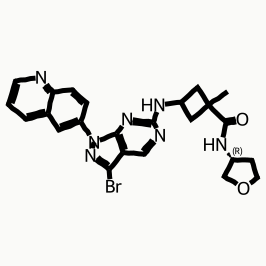 CC1(C(=O)N[C@@H]2CCOC2)CC(Nc2ncc3c(Br)nn(-c4ccc5ncccc5c4)c3n2)C1